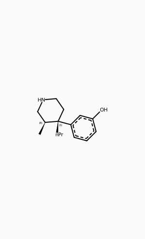 CCC[C@]1(c2cccc(O)c2)CCNC[C@@H]1C